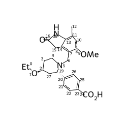 CCO[C@H]1CCN(Cc2c(OC)cc(C)c3c2CC(=O)N3)[C@H](c2ccc(C(=O)O)cc2)C1